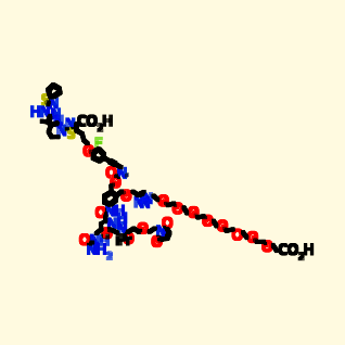 Cc1c(Nc2nc3ccccc3s2)nnc2c1CCCN2c1nc(C(=O)O)c(CCCOc2ccc(C#CCN(C)C(=O)OCc3ccc(NC(=O)[C@H](CCCNC(N)=O)NC(=O)[C@@H](NC(=O)CCOCCN4C(=O)C=CC4=O)C(C)C)cc3COCc3cn(CCOCCOCCOCCOCCOCCOCCOCCOCCC(=O)O)nn3)cc2F)s1